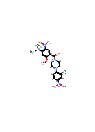 COc1cc(N(C)C)c([N+](=O)[O-])cc1C(=O)N1CCN(c2ccc([N+](=O)[O-])cc2Cl)CC1